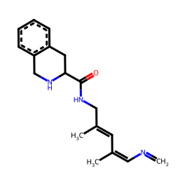 C=N/C=C(C)\C=C(/C)CNC(=O)C1Cc2ccccc2CN1